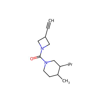 C#CC1CN(C(=O)N2CCC(C)C(C(C)C)C2)C1